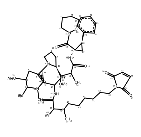 CCC(C)C(C(CC(=O)N1CCC[C@H]1C(OC)C(C)C(=O)N[C@@]1(C(=O)N2CCCCO2)C[C@@H]1c1ccccc1)OC)N(C)C(=O)C(NC(=O)C(C(C)C)N(C)CCCCCCN1C(=O)C=CC1=O)C(C)C